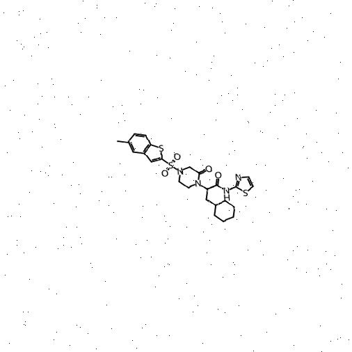 Cc1ccc2sc(S(=O)(=O)N3CCN(C(CC4CCCCC4)C(=O)Nc4nccs4)C(=O)C3)cc2c1